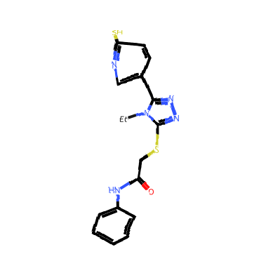 CCn1c(SCC(=O)Nc2ccccc2)nnc1-c1ccc(S)nc1